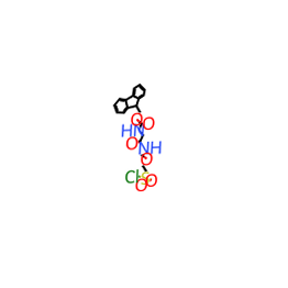 O=C(CNC(=O)OCC1c2ccccc2-c2ccccc21)NCOCCS(=O)(=O)Cl